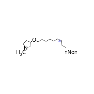 CCCCCCCCCCC/C=C\CCCCCOC1CCN(C)C1